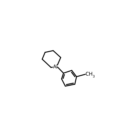 Cc1ccc[c]([Al]2[CH2]CCC[CH2]2)c1